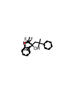 Cc1nc2c3ccc(c2s1)C(C(O)(CC(C)(C)c1ccccc1)C(F)(F)F)N3